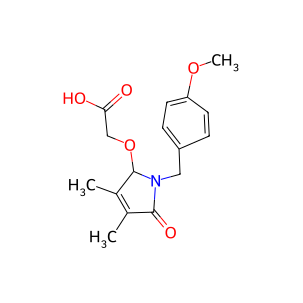 COc1ccc(CN2C(=O)C(C)=C(C)C2OCC(=O)O)cc1